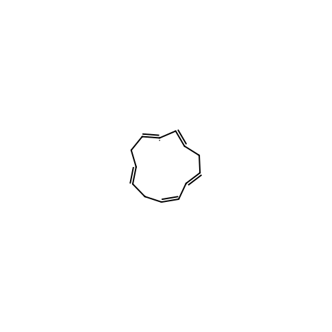 [C]1=C/C/C=C/C/C=C\C=C\C/C=C/1